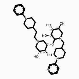 O[C@H]1[C@H](O)CN(CCC2CCN(c3ccccc3)CC2)C[C@@H]1OC1[C@@H](O)[C@H](O)[C@@H](O)CN1CC1CCN(c2cccnc2)CC1